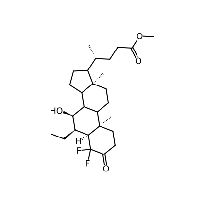 CC[C@@H]1[C@@H]2C(F)(F)C(=O)CC[C@]2(C)C2CC[C@@]3(C)C(CCC3[C@H](C)CCC(=O)OC)C2[C@@H]1O